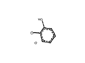 Oc1ccccc1Cl.[O]